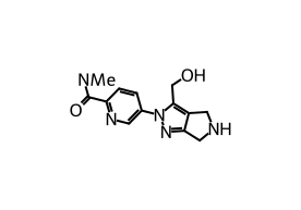 CNC(=O)c1ccc(-n2nc3c(c2CO)CNC3)cn1